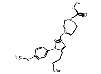 COCCc1cc(N2CCN(C(=O)OC(C)(C)C)CC2)nn1-c1ccc(OC(F)(F)F)cc1